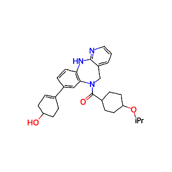 CC(C)OC1CCC(C(=O)N2Cc3cccnc3Nc3ccc(C4=CCC(O)CC4)cc32)CC1